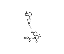 CC(C)COC(=O)OCN1C(=O)CC(C)(C)c2ccc(OCCCCN3CCN(c4cccc5sccc45)CC3)cc21